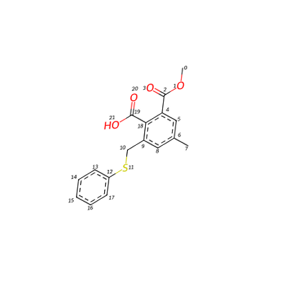 COC(=O)c1cc(C)cc(CSc2ccccc2)c1C(=O)O